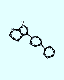 c1ccc(-c2ccc(-c3c[nH]c4ncccc34)cc2)cc1